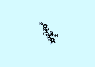 Cc1ccc(-c2csc(NC(=O)c3nc4cc(Br)ccc4o3)c2C(=O)O)c(F)c1F